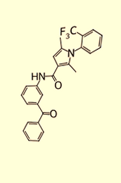 Cc1cc(C(=O)Nc2cccc(C(=O)c3ccccc3)c2)c(C)n1-c1ccccc1C(F)(F)F